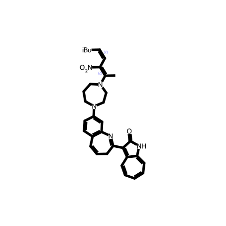 CCC(C)/C=C\C(=C(/C)N1CCCN(c2ccc3c(c2)N=C(c2c4cccccc-4[nH]c2=O)CC=C3)CC1)[N+](=O)[O-]